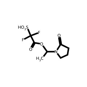 CC(OC(=O)C(F)(F)S(=O)(=O)O)N1CCCC1=O